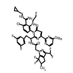 COc1ccnc(-c2cc(=O)n(-c3ccc(Cl)c(C(=N)NSC4CC4)c3NCCF)c(C(Cc3cc(F)cc(F)c3)NC(=O)Cn3nc(C(F)F)c4c3C(F)(F)C(C)C4)n2)n1